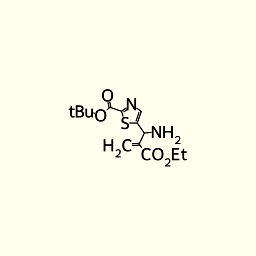 C=C(C(=O)OCC)C(N)c1cnc(C(=O)OC(C)(C)C)s1